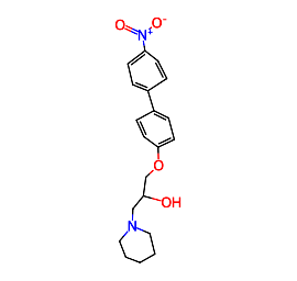 O=[N+]([O-])c1ccc(-c2ccc(OCC(O)CN3CCCCC3)cc2)cc1